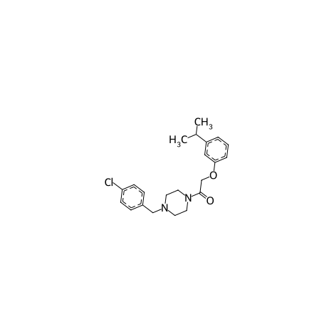 CC(C)c1cccc(OCC(=O)N2CCN(Cc3ccc(Cl)cc3)CC2)c1